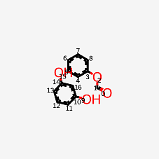 O=COc1ccccc1.Oc1cccc(O)c1